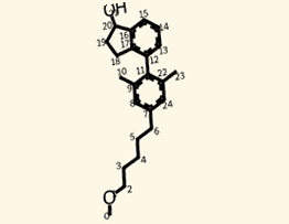 COCCCCCc1cc(C)c(-c2cccc3c2CCC3O)c(C)c1